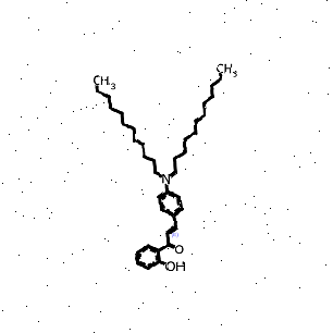 CCCCCCCCCCCCN(CCCCCCCCCCCC)c1ccc(/C=C/C(=O)c2ccccc2O)cc1